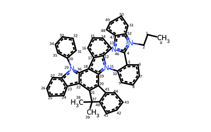 CCCn1c(-c2ccccc2-n2c3ccccc3c3c2c2c(c4c5ccccc5n(-c5ccccc5)c43)C(C)(C)c3ccccc3-2)nc2ccccc21